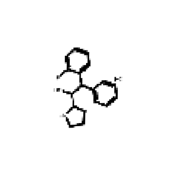 Cl.OC(C(c1ccccc1)c1ccccc1F)[C@H]1CCCN1